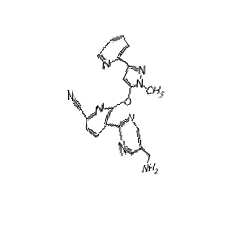 Cn1nc(-c2ccccn2)cc1Oc1nc(C#N)ccc1-c1ncc(CN)cn1